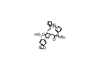 CCCCN(C(=O)CN1C[C@H](c2ccc3c(c2)OCO3)[C@@H](C(=O)O)[C@@H]1CCn1cccn1)c1ccc[n+](C)c1